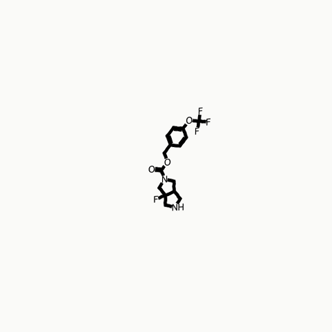 O=C(OCc1ccc(OC(F)(F)F)cc1)N1CC2CNCC2(F)C1